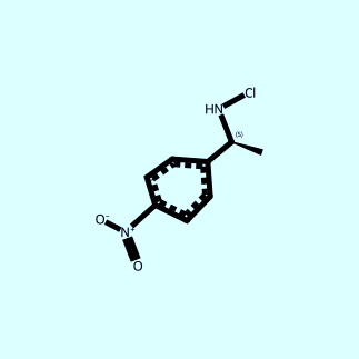 C[C@H](NCl)c1ccc([N+](=O)[O-])cc1